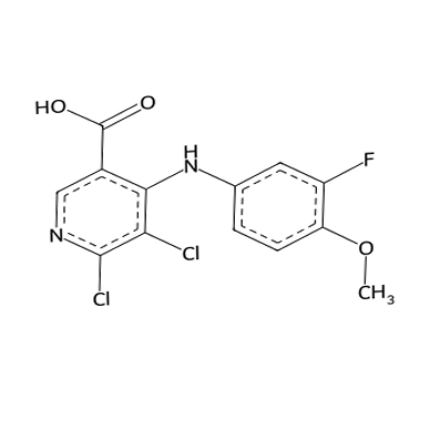 COc1ccc(Nc2c(C(=O)O)cnc(Cl)c2Cl)cc1F